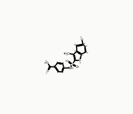 Cc1c(S(=O)(=O)Nc2ccc(C(=O)O)cc2)sc2ccc(Cl)cc12